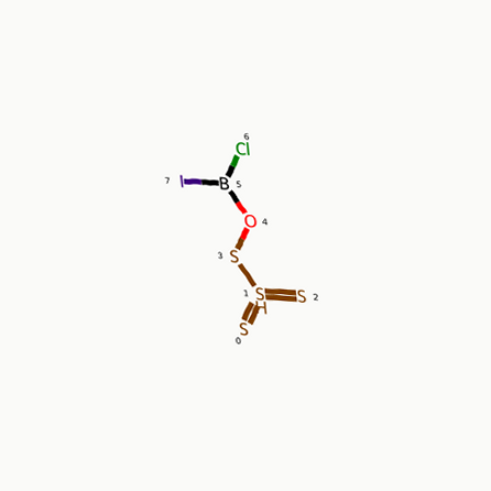 S=[SH](=S)SOB(Cl)I